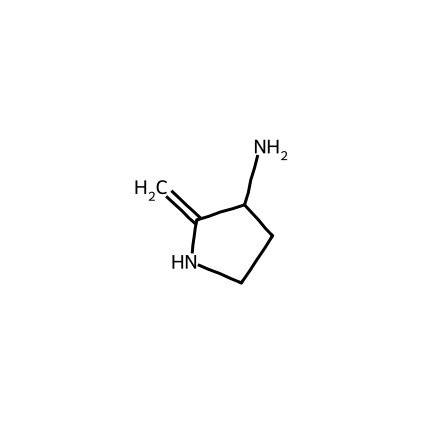 C=C1NCCC1N